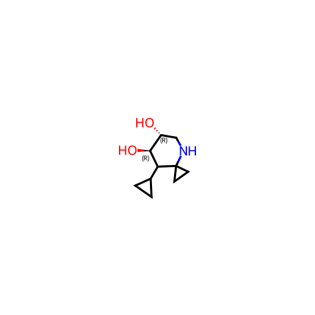 O[C@@H]1CNC2(CC2)C(C2CC2)[C@H]1O